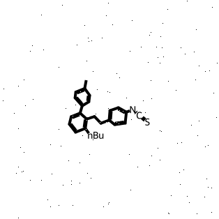 CCCCc1cccc(-c2ccc(C)cc2)c1CCc1ccc(N=C=S)cc1